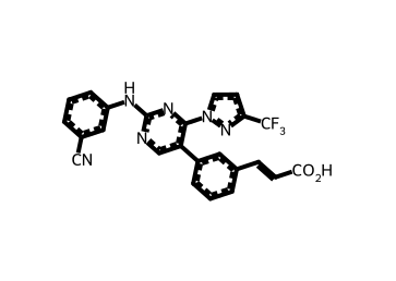 N#Cc1cccc(Nc2ncc(-c3cccc(/C=C/C(=O)O)c3)c(-n3ccc(C(F)(F)F)n3)n2)c1